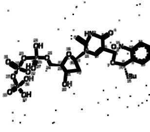 C=C1NC(=O)C(CO[C@H](c2ccccc2[N+](=O)[O-])C(C)(C)C)=CN1[C@H]1CC(O)[C@@H](COP(=O)(O)OP(=O)(O)OP(=O)(O)O)O1